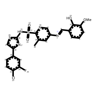 COc1cccc(/C=N/c2cnc(S(=O)(=O)Nc3nc(-c4ccc(Cl)c(F)c4)cs3)c(C)c2)c1O